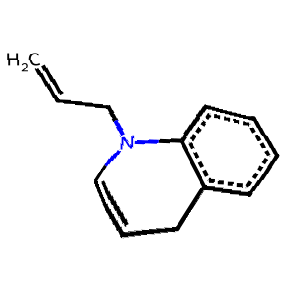 C=CCN1C=CCc2ccccc21